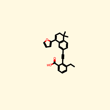 CCc1cccc(C(=O)O)c1C#Cc1ccc2c(c1)C(c1ccco1)=CCC2(C)C